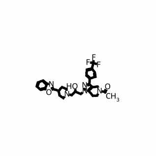 CC(=O)N1CCc2c(c(-c3ccc(C(F)(F)F)cc3)nn2CC(O)CN2CCC(c3nc4ccccc4o3)CC2)C1